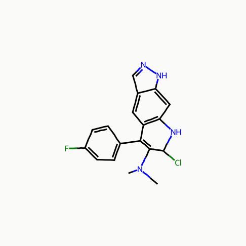 CN(C)C1=C(c2ccc(F)cc2)c2cc3cn[nH]c3cc2NC1Cl